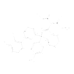 CC(C)(C)OC(=O)N(C(=O)OC(C)(C)C)C1=NC(c2ccc(OC(F)(F)F)cc2)(c2cccc(-c3ccc[n+]([O-])c3F)c2)C2=NCCCN12